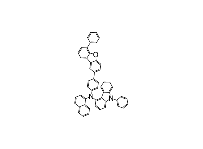 c1ccc(-c2cccc3c2oc2ccc(-c4ccc(N(c5cccc6ccccc56)c5cccc6c5c5ccccc5n6-c5ccccc5)cc4)cc23)cc1